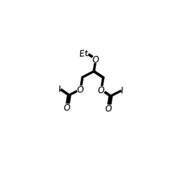 CCOC(COC(=O)I)COC(=O)I